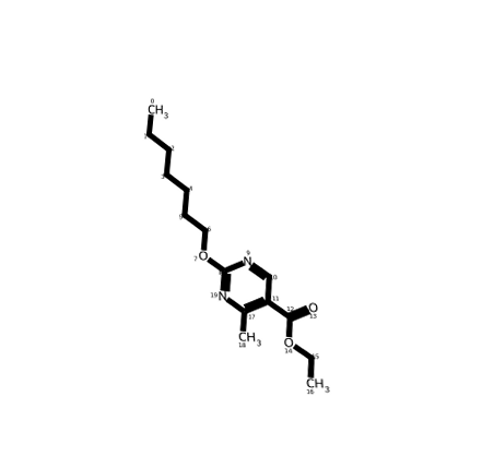 CCCCCCCOc1ncc(C(=O)OCC)c(C)n1